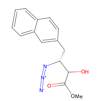 COC(=O)C(O)[C@@H](Cc1ccc2ccccc2c1)N=[N+]=[N-]